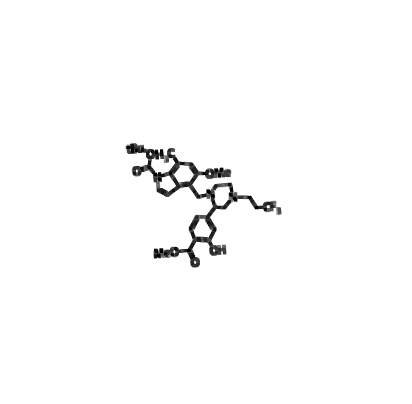 COC(=O)c1ccc(C2CN(CCC(F)(F)F)CCN2Cc2c(OC)cc(C)c3c2ccn3C(=O)OC(C)(C)C)cc1O